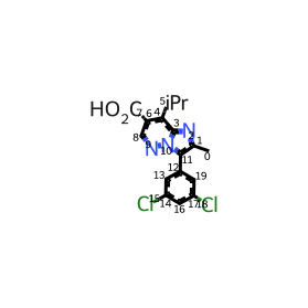 Cc1nc2c(C(C)C)c(C(=O)O)cnn2c1-c1cc(Cl)cc(Cl)c1